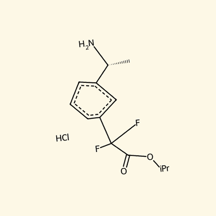 CC(C)OC(=O)C(F)(F)c1cccc([C@@H](C)N)c1.Cl